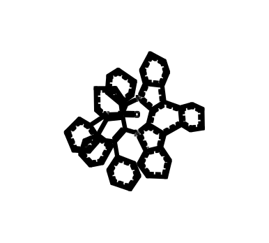 O=S1(c2ccccc2)=Nc2ccccc2C(c2ccccc2)=C1n1c2ccccc2c2c3ccccc3c3c4ccccc4n(-c4cccc(-c5ccccc5)c4)c3c21